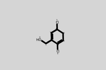 OCC1=CC(Cl)CC=C1Cl